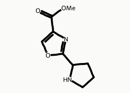 COC(=O)c1coc(C2CCCN2)n1